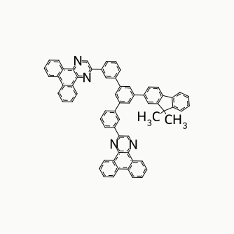 CC1(C)c2ccccc2-c2ccc(-c3cc(-c4cccc(-c5cnc6c7ccccc7c7ccccc7c6n5)c4)cc(-c4cccc(-c5cnc6c7ccccc7c7ccccc7c6n5)c4)c3)cc21